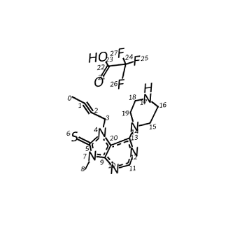 CC#CCn1c(=S)n(C)c2ncnc(N3CCNCC3)c21.O=C(O)C(F)(F)F